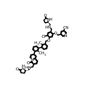 Cc1c(COc2cc(OCc3cncc(C#N)c3)c(CNC[C@H]3CCC(=O)N3)cc2Cl)cccc1-c1cccc(-c2ccn3c(=O)c(CNC[C@@H]4CCC(=O)N4)ccc3c2)c1C